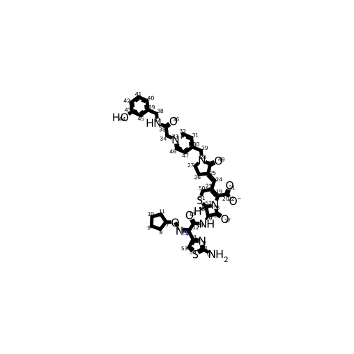 Nc1nc(/C(=N/OC2CCCC2)C(=O)N[C@@H]2C(=O)N3C(C(=O)[O-])=C(C=C4CCN(Cc5cc[n+](CC(=O)NCc6cccc(O)c6)cc5)C4=O)CS[C@H]23)cs1